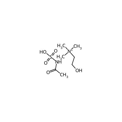 CC(=O)NS(=O)(=O)O.C[N+](C)(C)CCO